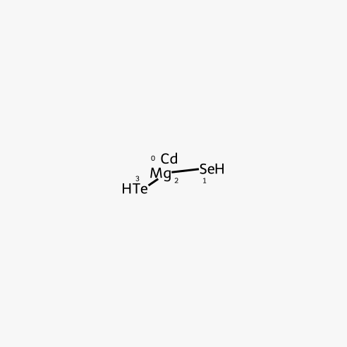 [Cd].[SeH][Mg][TeH]